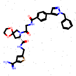 N=C(N)c1csc(CNC(=O)[C@@H]2CC3(CN2C(=O)CNC(=O)c2ccc(-c4cnn(Cc5ccccc5)c4)cc2)OCCO3)c1